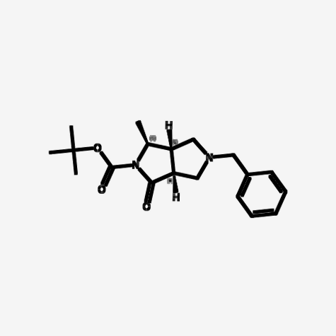 C[C@H]1[C@@H]2CN(Cc3ccccc3)C[C@@H]2C(=O)N1C(=O)OC(C)(C)C